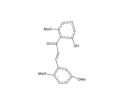 COc1ccc(OC)c(C=CC(=O)c2c(O)cccc2OC)c1